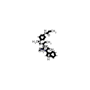 C=CC(=O)Nc1ccc(N(C)C[C@@H](CC)NC(=N/C)/N=C(\C(=C)C)c2c[nH]c3ccccc23)cc1